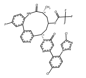 C[C@@H]1CC(OC(=O)C(F)(F)F)C[C@H](n2cnc(-c3cc(Cl)ccc3-n3cc(Cl)nn3)cc2=O)c2cc(ccn2)-c2cc(F)ccc2NC1=O